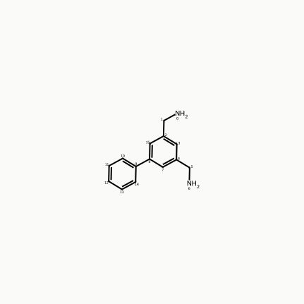 NCc1[c]c(CN)cc(-c2ccccc2)c1